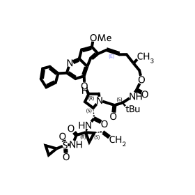 C=C[C@@H]1C[C@]1(NC(=O)[C@@H]1C[C@@H]2CN1C(=O)[C@H](C(C)(C)C)NC(=O)OCC(C)C/C=C/c1cc3c(cc(-c4ccccc4)nc3cc1OC)O2)C(=O)NS(=O)(=O)C1CC1